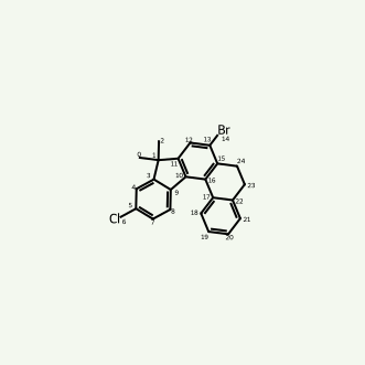 CC1(C)c2cc(Cl)ccc2-c2c1cc(Br)c1c2-c2ccccc2CC1